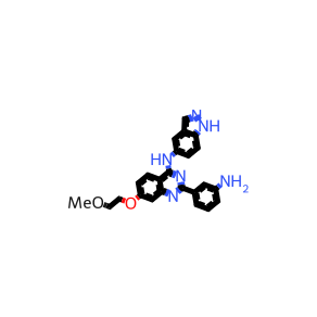 COCCOc1ccc2c(Nc3ccc4[nH]ncc4c3)nc(-c3cccc(N)c3)nc2c1